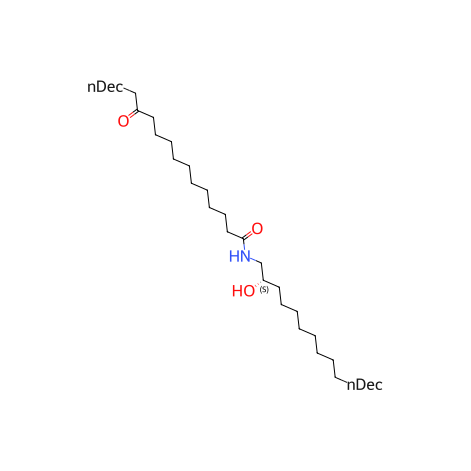 CCCCCCCCCCCCCCCCCC[C@H](O)CNC(=O)CCCCCCCCCCC(=O)CCCCCCCCCCC